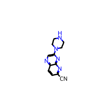 N#Cc1ccc2ncc(N3CCNCC3)nc2n1